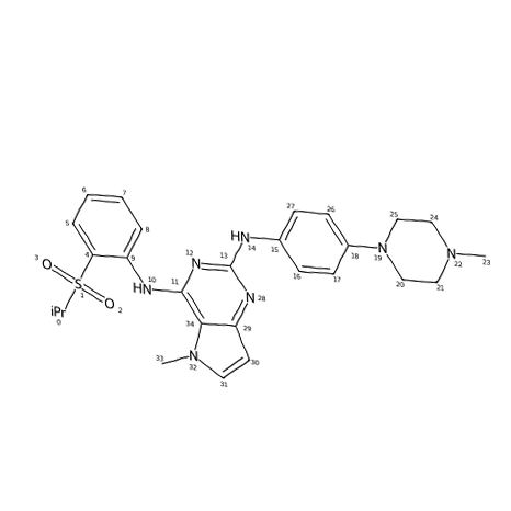 CC(C)S(=O)(=O)c1ccccc1Nc1nc(Nc2ccc(N3CCN(C)CC3)cc2)nc2ccn(C)c12